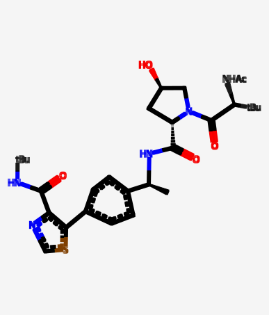 CC(=O)N[C@H](C(=O)N1C[C@H](O)C[C@H]1C(=O)N[C@@H](C)c1ccc(-c2scnc2C(=O)NC(C)(C)C)cc1)C(C)(C)C